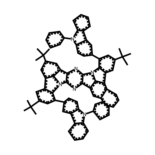 CC(C)(C)c1cc(-c2ccc3c(c2)c2ccccc2n3-c2ccccc2)c2c(c1)c1cc(C(C)(C)C)cc3c4nc5c(nc4n2c13)c1cc2ccccc2c2c3cc(C(C)(C)C)cc(-c4ccc6c(c4)c4ccccc4n6-c4ccccc4)c3n5c12